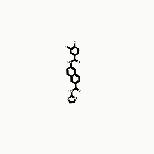 O=C(Nc1ccc2cc(C(=O)Nc3nccs3)ccc2c1)c1ccc(Cl)c(Cl)c1